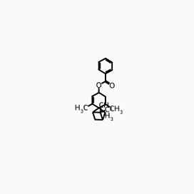 CC1=CC(OC(=O)c2ccccc2)CC(C)C12CC1CC2C1(C)C